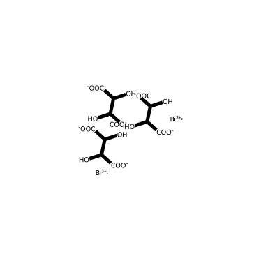 O=C([O-])C(O)C(O)C(=O)[O-].O=C([O-])C(O)C(O)C(=O)[O-].O=C([O-])C(O)C(O)C(=O)[O-].[Bi+3].[Bi+3]